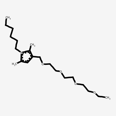 CCCCCCn1c(C)cc(COCCOCCOCCOCC)c1C